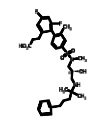 Cc1cc(S(=O)(=O)N(C)C[C@H](O)CNC(C)(C)CCCc2ccccc2)ccc1-c1c(F)cc(F)cc1CCC(=O)O